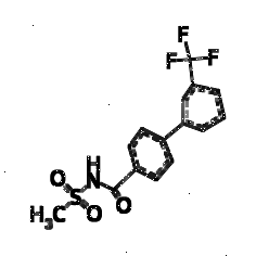 CS(=O)(=O)NC(=O)c1ccc(-c2cccc(C(F)(F)F)c2)cc1